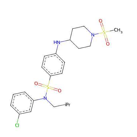 CC(C)CN(c1cccc(Cl)c1)S(=O)(=O)c1ccc(NC2CCN(S(C)(=O)=O)CC2)cc1